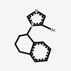 CC(=O)c1cncn1C1CCCc2ccccc21